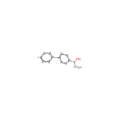 O=C(O)C(O)c1ccc(-c2ccccc2)cc1